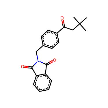 CC(C)(C)CC(=O)c1ccc(CN2C(=O)c3ccccc3C2=O)cc1